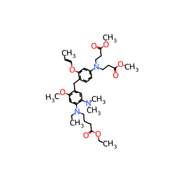 C/C=C/Oc1cc(N(CCC(=O)OC)CCC(=O)OC)ccc1Cc1cc(N(C)C)c(N(CC)CCCC(=O)OCC)cc1OC